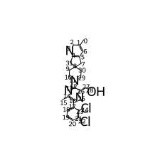 Cc1cnc2c(c1)CC1(CCN(c3nc(C)c(-c4cccc(Cl)c4Cl)nc3CO)CC1)C2